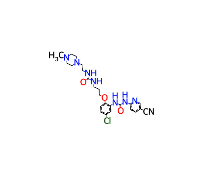 CN1CCN(CCNC(=O)NCCCOc2ccc(Cl)cc2NC(=O)Nc2ccc(C#N)cn2)CC1